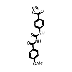 CCCCOC(=O)c1ccc(NC(=S)NC(=O)c2ccc(OC)cc2)cc1